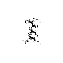 CC(Cl)C(=O)OC1COC(C)C(C)S1